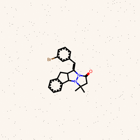 CC1(C)CC(=O)N2/C(=C/c3cccc(Br)c3)C3Cc4ccccc4C3N21